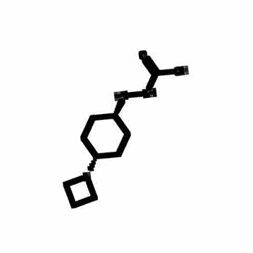 O=C(O)NN[C@H]1CC[C@H](N2CCC2)CC1